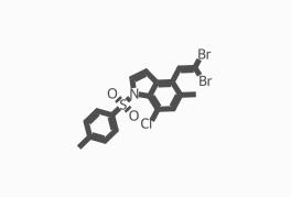 Cc1ccc(S(=O)(=O)n2ccc3c(C=C(Br)Br)c(C)cc(Cl)c32)cc1